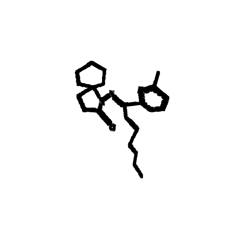 CCCCCC/C(=N\N1C(=O)CCC12CCCCC2)c1cccc(C)n1